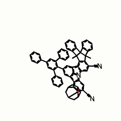 CC12c3ccccc3C13c1ccccc1C3(C)c1c2c(C#N)cc2c1c1cc(-c3c(-c4ccccc4)cc(-c4ccccc4)cc3-c3ccccc3)cc3c4c5c(c(C#N)cc4n2c31)C1CC2CC(C1)CC5C2